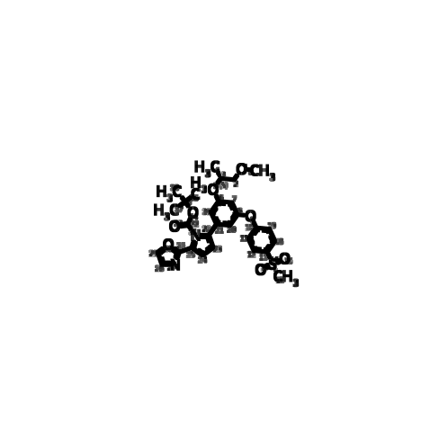 COC[C@H](C)Oc1cc(Oc2ccc(S(C)(=O)=O)cc2)cc(-c2ccc(-c3ncco3)n2C(=O)OC(C)(C)C)c1